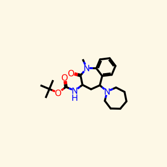 CN1C(=O)C(NC(=O)OC(C)(C)C)CC(N2CCCCCC2)c2ccccc21